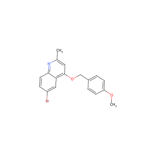 COc1ccc(COc2cc(C)nc3ccc(Br)cc23)cc1